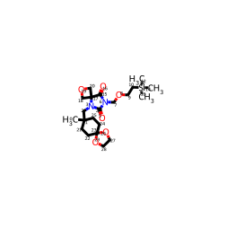 CC1(CN2C(=O)N(COCC[Si](C)(C)C)C(=O)C23COC3)CCC2(CC1)OCCO2